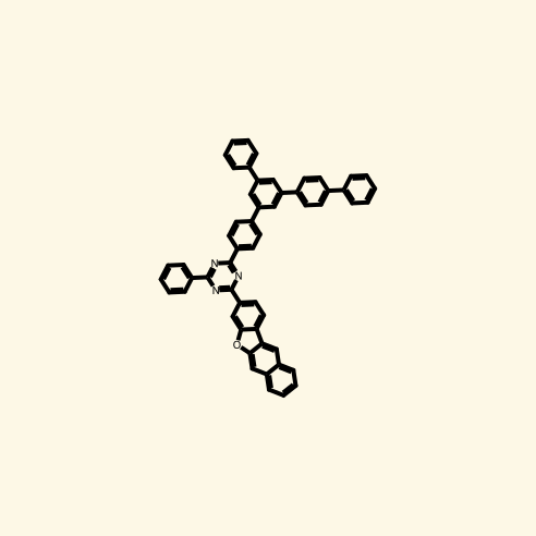 c1ccc(-c2ccc(-c3cc(-c4ccccc4)cc(-c4ccc(-c5nc(-c6ccccc6)nc(-c6ccc7c(c6)oc6cc8ccccc8cc67)n5)cc4)c3)cc2)cc1